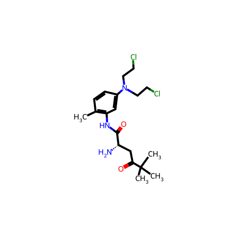 Cc1ccc(N(CCCl)CCCl)cc1NC(=O)[C@@H](N)CC(=O)C(C)(C)C